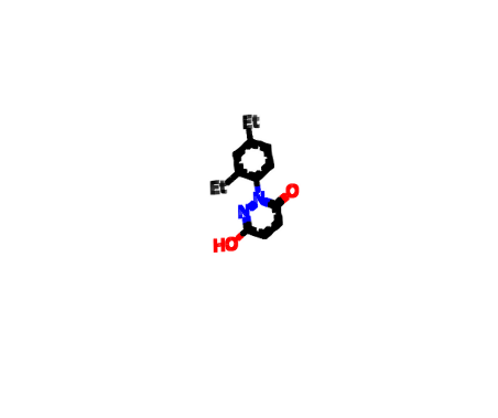 CCc1ccc(-n2nc(O)ccc2=O)c(CC)c1